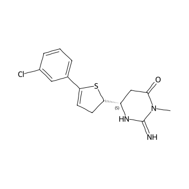 CN1C(=N)N[C@H](C2CC=C(c3cccc(Cl)c3)S2)CC1=O